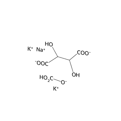 O=C([O-])C(O)C(O)C(=O)[O-].O=C([O-])O.[K+].[K+].[Na+]